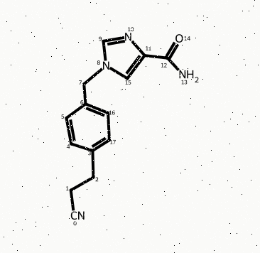 N#CCCc1ccc(Cn2cnc(C(N)=O)c2)cc1